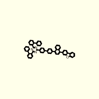 c1ccc(-c2ccccc2-c2nc(-c3ccc(-c4ccc(-c5ccc(-c6ccc7c(c6)oc6ccccc67)c6ccccc56)cc4)cc3)nc(-c3ccccc3-c3ccccc3)n2)cc1